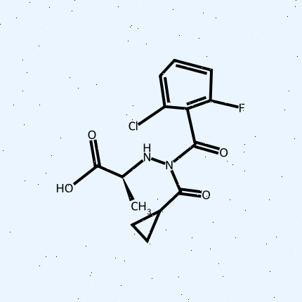 C[C@H](NN(C(=O)c1c(F)cccc1Cl)C(=O)C1CC1)C(=O)O